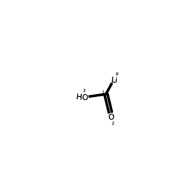 [Li][C](=O)O